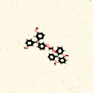 COc1cccc(B(c2cccc(OC)c2)c2cccc(OCCOc3ccccc3B(c3ccccc3OC)c3ccccc3OC)c2)c1